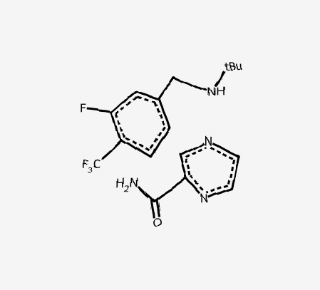 CC(C)(C)NCc1ccc(C(F)(F)F)c(F)c1.NC(=O)c1cnccn1